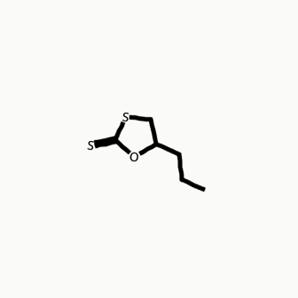 CCCC1CSC(=S)O1